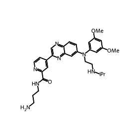 COc1cc(OC)cc(N(CCNC(C)C)c2ccc3ncc(-c4ccnc(C(=O)NCCCN)c4)nc3c2)c1